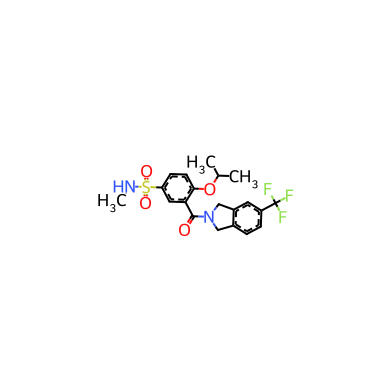 CNS(=O)(=O)c1ccc(OC(C)C)c(C(=O)N2Cc3ccc(C(F)(F)F)cc3C2)c1